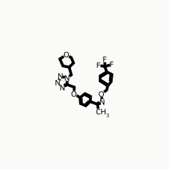 CC(=NOCc1ccc(C(F)(F)F)cc1)c1ccc(OCc2nnnn2CC2CCOCC2)cc1